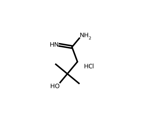 CC(C)(O)CC(=N)N.Cl